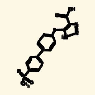 CS(=O)(=O)c1ccc(-c2ccc(Sc3[nH]nnc3C(=O)O)cc2)cc1